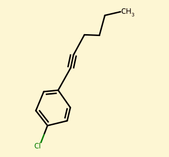 CCCCC#Cc1ccc(Cl)cc1